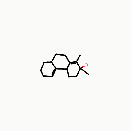 CC1=C2CCC3CCCC=C3C2CCC1(C)O